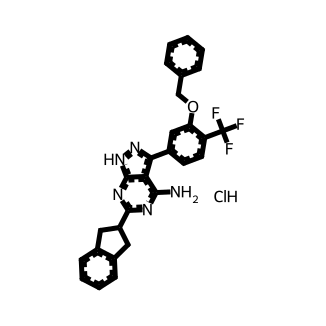 Cl.Nc1nc(C2Cc3ccccc3C2)nc2[nH]nc(-c3ccc(C(F)(F)F)c(OCc4ccccc4)c3)c12